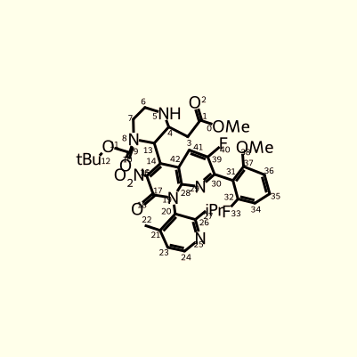 COC(=O)CC1NCCN(C(=O)OC(C)(C)C)C1c1c([N+](=O)[O-])c(=O)n(-c2c(C)ccnc2C(C)C)c2nc(-c3c(F)cccc3OC)c(F)cc12